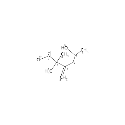 C=C(CC(C)O)C(C)(C)NCl